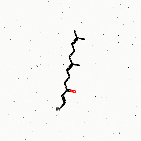 CC(C)=CCC/C(C)=C/CCC(=O)/C=C/C(C)C